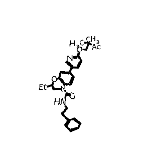 CCC1CN(C(=O)NCCc2ccccc2)c2ccc(-c3ccc(OCC(C)(C)C(C)=O)nc3)cc2O1